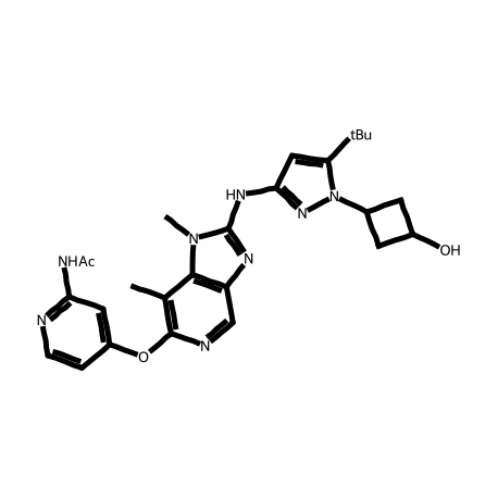 CC(=O)Nc1cc(Oc2ncc3nc(Nc4cc(C(C)(C)C)n(C5CC(O)C5)n4)n(C)c3c2C)ccn1